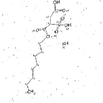 CCCCCCCCOC(=O)C(CC(=O)O)S(=O)(=O)O.[KH]